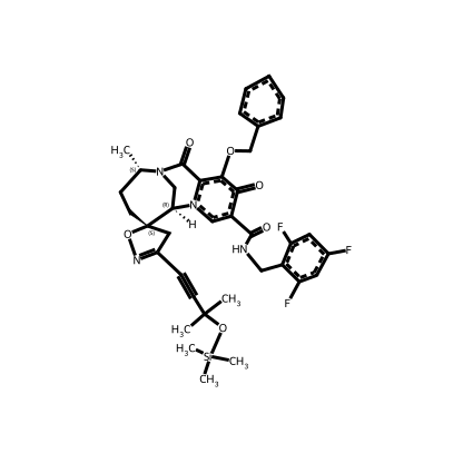 C[C@H]1CC[C@]2(CC(C#CC(C)(C)O[Si](C)(C)C)=NO2)[C@H]2CN1C(=O)c1c(OCc3ccccc3)c(=O)c(C(=O)NCc3c(F)cc(F)cc3F)cn12